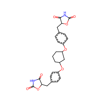 O=C1NC(=O)C(Cc2ccc(OC3CCCC(Oc4ccc(CC5OC(=O)NC5=O)cc4)C3)cc2)O1